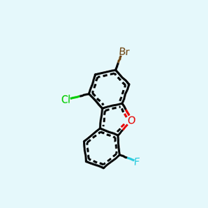 Fc1cccc2c1oc1cc(Br)cc(Cl)c12